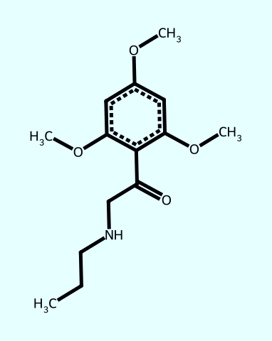 CCCNCC(=O)c1c(OC)cc(OC)cc1OC